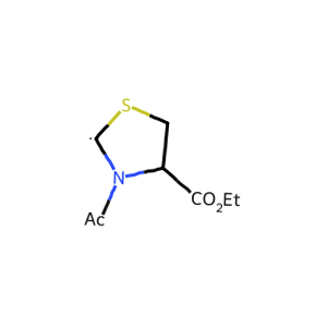 CCOC(=O)C1CS[CH]N1C(C)=O